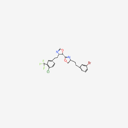 FC(F)(F)c1cc(CCC2N=[C]OC2C2=NC(CCc3cccc(Br)c3)CO2)ccc1Cl